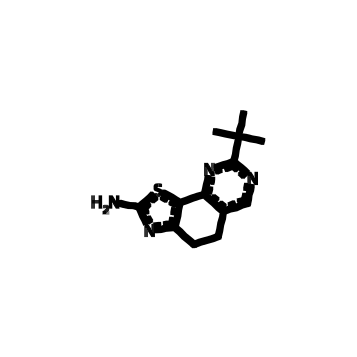 CC(C)(C)c1ncc2c(n1)-c1sc(N)nc1CC2